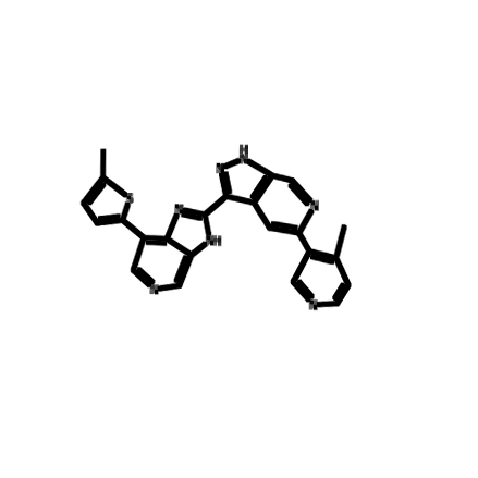 Cc1ccc(-c2cncc3[nH]c(-c4n[nH]c5cnc(-c6cnccc6C)cc45)nc23)s1